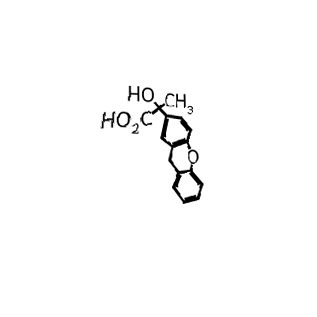 CC(O)(C(=O)O)c1ccc2c(c1)Cc1ccccc1O2